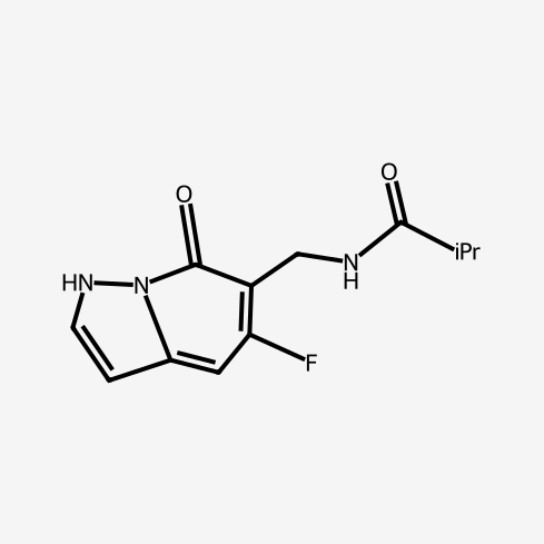 CC(C)C(=O)NCc1c(F)cc2cc[nH]n2c1=O